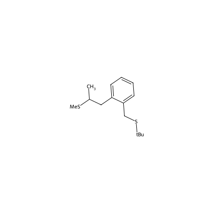 CSC(C)Cc1ccccc1CSC(C)(C)C